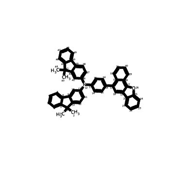 CC1(C)c2ccccc2-c2cc(N(c3ccc(-c4cc5c6ccccc6oc5c5ccccc45)cc3)c3ccc4c(c3)C(C)(C)c3ccccc3-4)ccc21